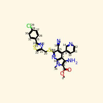 COC(=O)c1c(N)c2c(-c3cccnc3)c(C#N)c(SCc3csc(-c4ccc(Cl)cc4)n3)nc2n1C